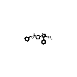 Nc1cnn(C2CCN(C(=O)OCc3ccccc3)C2)c1-c1ccccc1